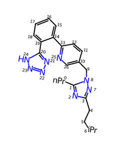 CCCc1nc(CCC(C)C)nn1Cc1ccc(-c2ccccc2-c2nnn[nH]2)nc1